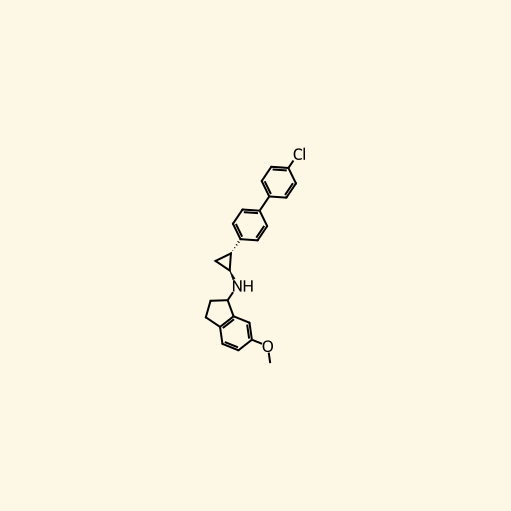 COc1ccc2c(c1)C(N[C@H]1C[C@@H]1c1ccc(-c3ccc(Cl)cc3)cc1)CC2